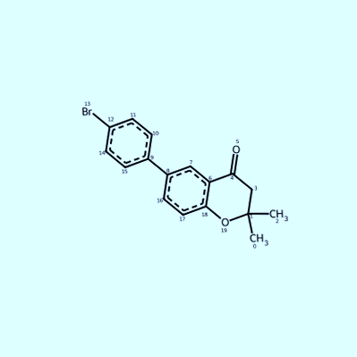 CC1(C)CC(=O)c2cc(-c3ccc(Br)cc3)ccc2O1